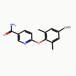 Cc1cc(C=O)cc(C)c1Oc1ccc(C(N)=O)cn1